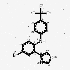 FC(F)(F)c1ccc(Nc2ccc(Br)cc2-c2cocn2)cc1